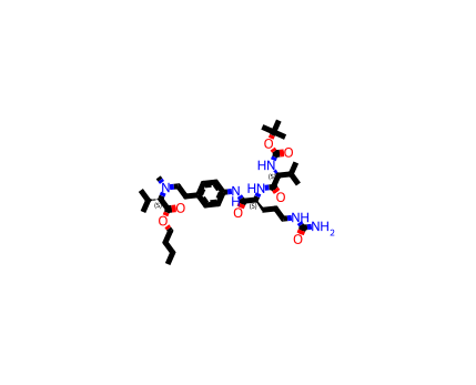 CCCCOC(=O)[C@H](C(C)C)N(C)CCc1ccc(NC(=O)[C@H](CCCNC(N)=O)NC(=O)[C@@H](NC(=O)OC(C)(C)C)C(C)C)cc1